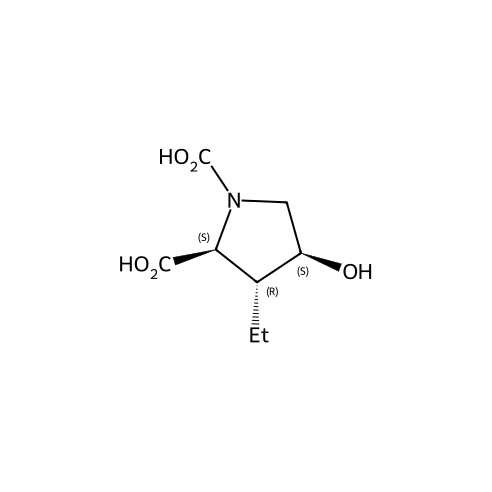 CC[C@H]1[C@H](O)CN(C(=O)O)[C@@H]1C(=O)O